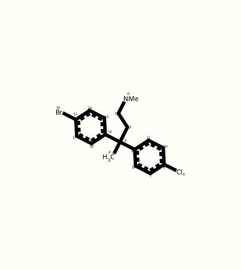 CNCCC(C)(c1ccc(Cl)cc1)c1ccc(Br)cc1